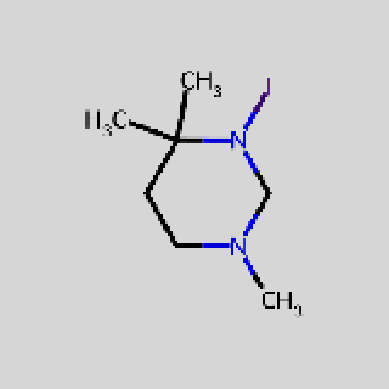 CN1CCC(C)(C)N(I)C1